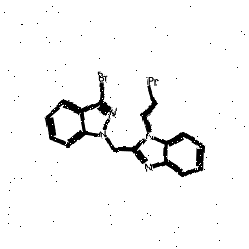 CC(C)CCn1c(Cn2nc(Br)c3ccccc32)nc2ccccc21